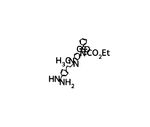 CCOC(=O)CN(c1ccc2c(c1)nc(CCc1ccc(C(=N)N)cc1)n2C)S(=O)(=O)c1ccccc1